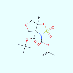 C=C(C)OC(=O)N1[C@@]2(C(=O)OC(C)(C)C)COC[C@H]2OS1(=O)=O